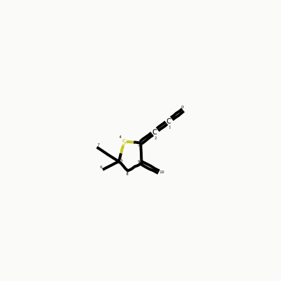 C=C=C=C1SC(C)(C)CC1=C